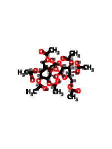 CC(=O)OC[C@H]1O[C@H](O[C@]2(O)O[C@H](COC(C)=O)[C@@H](OC(C)=O)[C@H](OC(C)=O)[C@@H]2OC(C)=O)[C@@H](OC(C)=O)[C@@H](OC(C)=O)[C@@H]1OC(C)=O